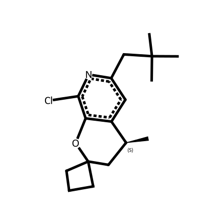 C[C@H]1CC2(CCC2)Oc2c1cc(CC(C)(C)C)nc2Cl